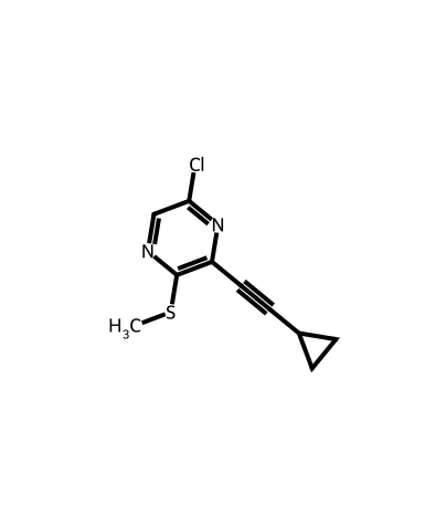 CSc1ncc(Cl)nc1C#CC1CC1